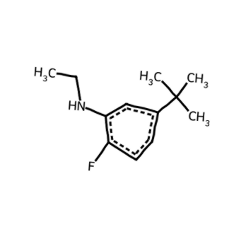 CCNc1cc(C(C)(C)C)ccc1F